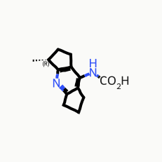 C[C@@H]1CCc2c1nc1c(c2NC(=O)O)CCC1